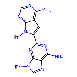 CC(C)n1cnc2c(N)nc(-c3cc4c(N)ncnc4n3C(C)C)nc21